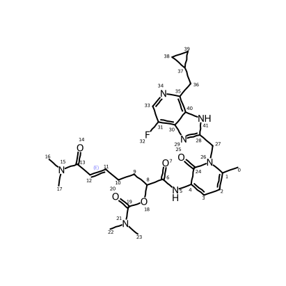 Cc1ccc(NC(=O)C(CC/C=C/C(=O)N(C)C)OC(=O)N(C)C)c(=O)n1Cc1nc2c(F)cnc(CC3CC3)c2[nH]1